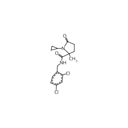 CC1(C(=O)NCc2ccc(Cl)cc2Cl)CCC(=O)N1C1CC1